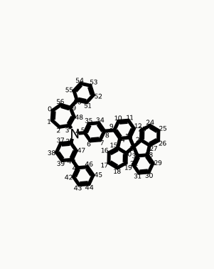 C1=CCC(N(c2ccc(-c3cccc4c3-c3ccccc3C43c4ccccc4-c4ccccc43)cc2)c2cccc(-c3ccccc3)c2)=CC(c2ccccc2)=C1